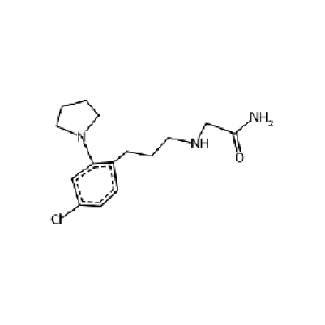 NC(=O)CNCCCc1ccc(Cl)cc1N1CCCC1